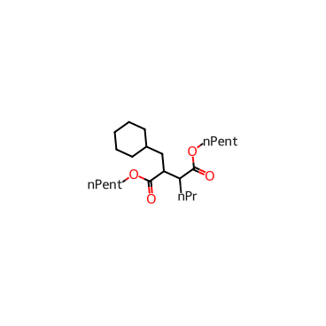 CCCCCOC(=O)C(CCC)C(CC1CCCCC1)C(=O)OCCCCC